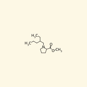 CCCC(CC)CN1CCCC1C(=O)OC